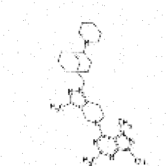 Cc1nc(N2CCc3c(c(C)nn3CC34CCCC(C3)C(N3CCCCC3)CC4)C2)c2c(n1)c(C)nn2C